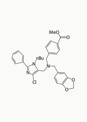 CCCCn1c(-c2ccccc2)nc(Cl)c1CN(Cc1ccc(C(=O)OC)cc1)Cc1ccc2c(c1)OCO2